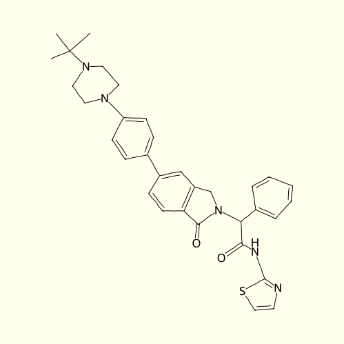 CC(C)(C)N1CCN(c2ccc(-c3ccc4c(c3)CN(C(C(=O)Nc3nccs3)c3ccccc3)C4=O)cc2)CC1